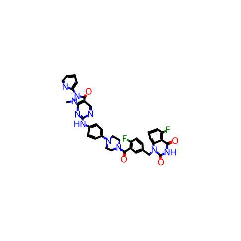 Cn1c2nc(Nc3ccc(N4CCN(C(=O)c5cc(Cn6c(=O)[nH]c(=O)c7c(F)cccc76)ccc5F)CC4)cc3)ncc2c(=O)n1-c1ccccn1